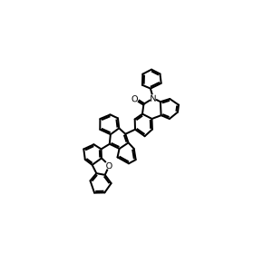 O=c1c2cc(-c3c4ccccc4c(-c4cccc5c4oc4ccccc45)c4ccccc34)ccc2c2ccccc2n1-c1ccccc1